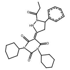 CCC(=O)N1NC(=C2C(=O)N(C3CCCCC3)C(=O)N(C3CCCCC3)C2=O)CC1c1ccccc1